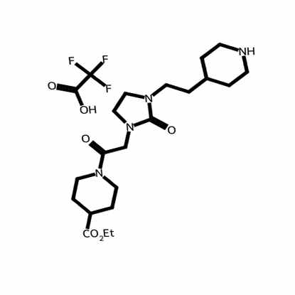 CCOC(=O)C1CCN(C(=O)CN2CCN(CCC3CCNCC3)C2=O)CC1.O=C(O)C(F)(F)F